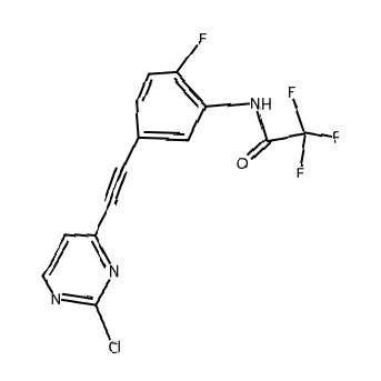 O=C(Nc1cc(C#Cc2ccnc(Cl)n2)ccc1F)C(F)(F)F